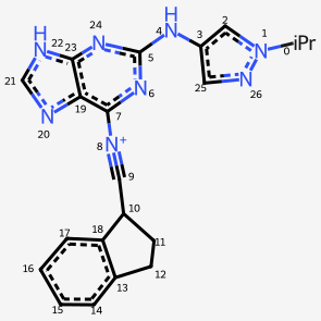 CC(C)n1cc(Nc2nc([N+]#CC3CCc4ccccc43)c3nc[nH]c3n2)cn1